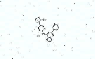 CCC1CCCN1c1ccc(Nc2cc(-c3ccccc3)nn3ccnc23)nc1.Cl